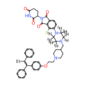 [2H]C1([2H])N(CC2CCN(CCOc3ccc(C(=C(CC)c4ccccc4)c4ccccc4)cc3)CC2)C([2H])([2H])C([2H])([2H])N(c2ccc3c(c2F)C(=O)N(C2CCC(=O)NC2=O)C3=O)C1([2H])[2H]